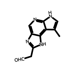 Cc1c[nH]c2ncc3nc(CC=O)[nH]c3c12